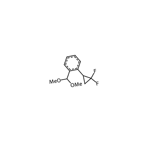 COC(OC)c1ccccc1C1CC1(F)F